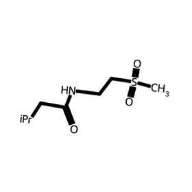 CC(C)CC(=O)NCCS(C)(=O)=O